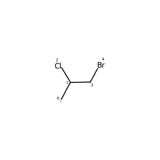 [CH2]C(Cl)CBr